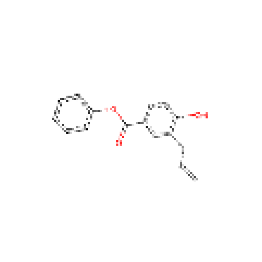 C=CCc1cc(C(=O)Oc2ccccc2)ccc1O